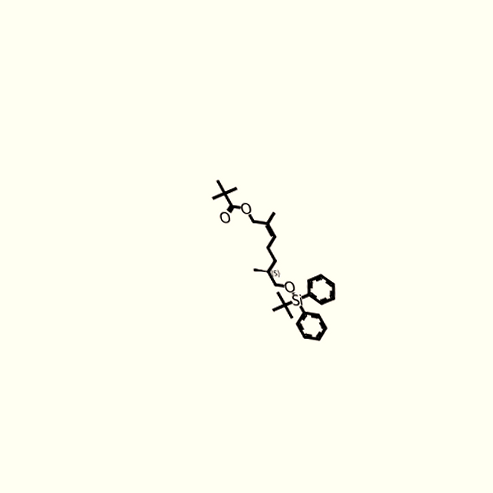 CC(=CCC[C@H](C)CO[Si](c1ccccc1)(c1ccccc1)C(C)(C)C)COC(=O)C(C)(C)C